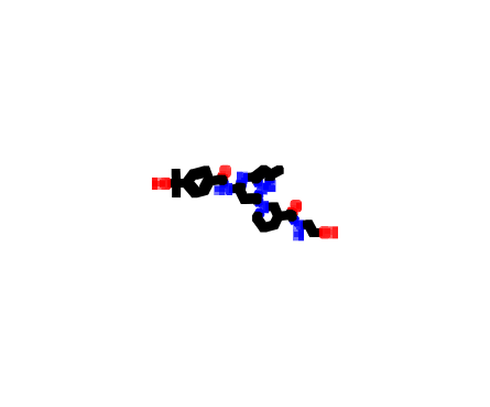 Cc1cc2nc(NC(=O)c3ccc(C(C)(C)O)cc3)cc(N3CCCC(C(=O)NCCO)C3)n2n1